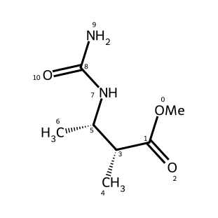 COC(=O)[C@H](C)[C@H](C)NC(N)=O